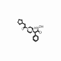 O=C(NO)C(c1ccccc1)N1CCN(C(=O)CC2CCCC2)CC1